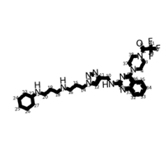 O=C(N1CCN(c2nc(NCc3cn(CCCNCCCNC4CCCCC4)nn3)nc3ccccc23)CC1)C(F)(F)F